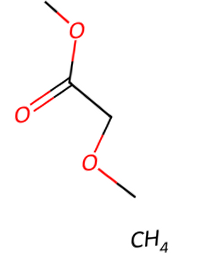 C.COCC(=O)OC